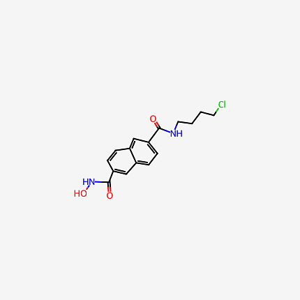 O=C(NO)c1ccc2cc(C(=O)NCCCCCl)ccc2c1